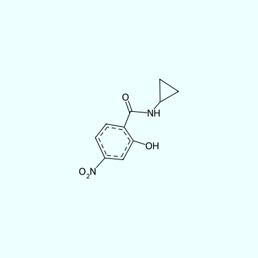 O=C(NC1CC1)c1ccc([N+](=O)[O-])cc1O